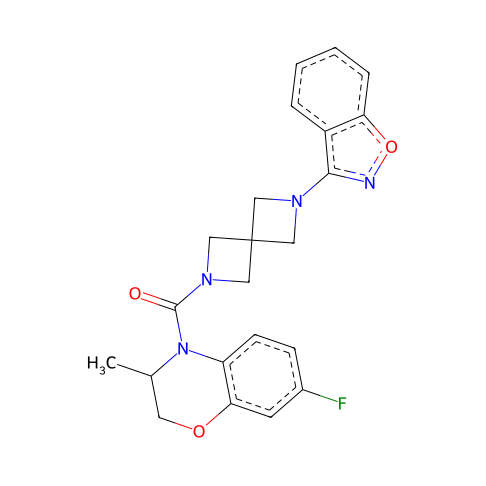 CC1COc2cc(F)ccc2N1C(=O)N1CC2(C1)CN(c1noc3ccccc13)C2